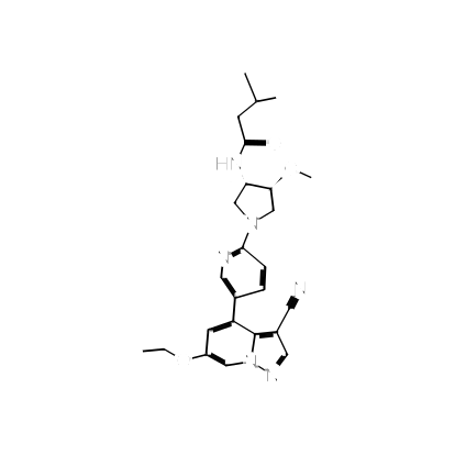 CCOc1cc(-c2ccc(N3C[C@H](NC(=O)CC(C)C)[C@@H](OC)C3)nc2)c2c(C#N)cnn2c1